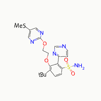 CSc1cnc(OCCOc2c(C(C)(C)C)ccc(S(N)(=O)=O)c2-c2ccncn2)nc1